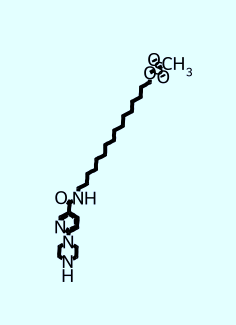 CS(=O)(=O)OCCCCCCCCCCCCCCCCNC(=O)c1ccc(N2CCNCC2)nc1